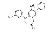 Cc1cc2c(cc1-c1ccccc1)CC(=O)CCN2c1cccc(C#N)c1